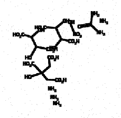 N.N.N.N.NC(N)=O.O=C(O)C(O)C(O)C(=O)O.O=C(O)C(O)C(O)C(=O)O.O=C(O)CC(O)(CC(=O)O)C(=O)O.O=[N+]([O-])O